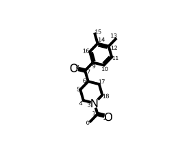 CC(=O)N1CCC(C(=O)c2ccc(C)c(C)c2)CC1